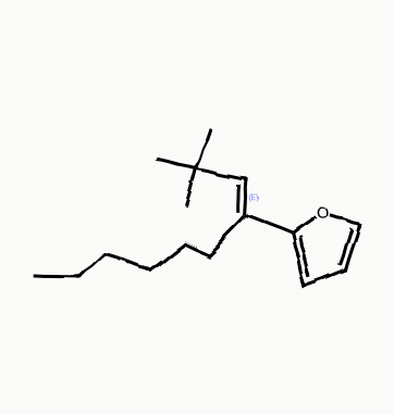 CCCCCC/C(=C\C(C)(C)C)c1ccco1